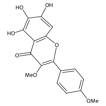 COc1ccc(-c2oc3cc(O)c(O)c(O)c3c(=O)c2OC)cc1